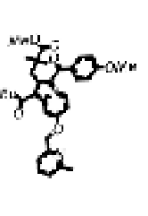 COC(=O)C(C)(C)Cc1c(C(=O)C(C)(C)C)c2cc(OCc3cccc(C)n3)ccn2c1C(=O)c1ccc(OC)cc1